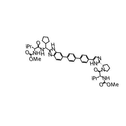 COC(=O)N[C@H](C(=O)N[C@H](c1nc2ccc(-c3ccc(-c4ccc(-c5cnc([C@@H]6CCCN6C(=O)[C@@H](NC(=O)OC)C(C)C)[nH]5)cc4)cc3)cc2[nH]1)C1CCCC1)C(C)C